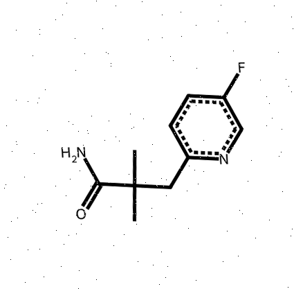 CC(C)(Cc1ccc(F)cn1)C(N)=O